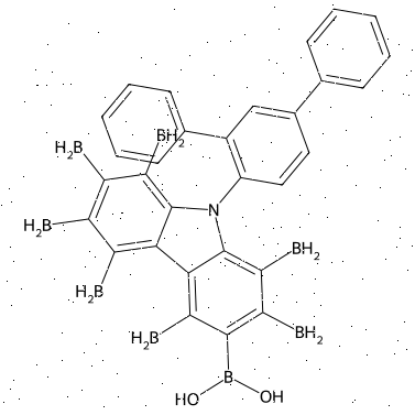 Bc1c(B)c(B)c2c(c1B)c1c(B)c(B(O)O)c(B)c(B)c1n2-c1ccc(-c2ccccc2)cc1-c1ccccc1